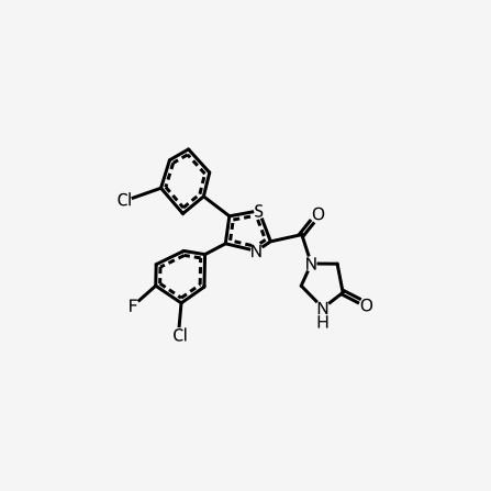 O=C1CN(C(=O)c2nc(-c3ccc(F)c(Cl)c3)c(-c3cccc(Cl)c3)s2)CN1